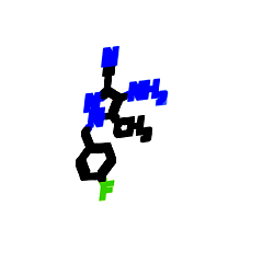 Cc1c(N)c(C#N)nn1Cc1ccc(F)cc1